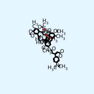 COc1cc2c(cc1OC(=O)Cc1cc(=O)oc3cc(N(C)C)ccc13)CCN[C@]21CS[C@@H]2c3c(OC(C)=O)c(C)c4c(c3[C@H](COC1=O)N1C2[C@H]2c3c(cc(C)c(OC)c3O)C[C@@H]([C@@H]1O)N2C)OCO4